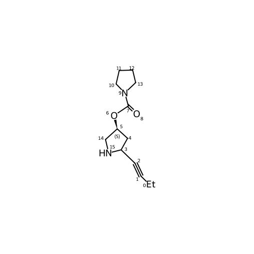 CCC#CC1C[C@H](OC(=O)N2CCCC2)CN1